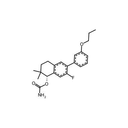 CCCOc1cccc(-c2cc3c(cc2F)[C@H](OC(N)=O)C(C)(C)CC3)c1